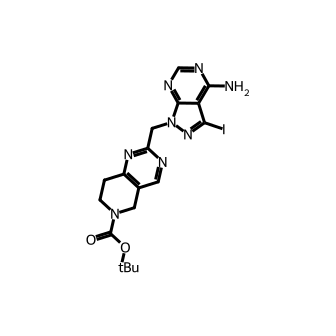 CC(C)(C)OC(=O)N1CCc2nc(Cn3nc(I)c4c(N)ncnc43)ncc2C1